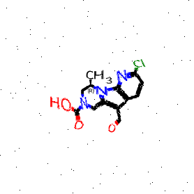 C[C@@H]1CN(C(=O)O)Cc2c(C=O)c3ccc(Cl)nc3n21